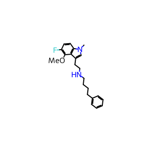 COc1c(F)ccc2c1c(CCNCCCCc1ccccc1)cn2C